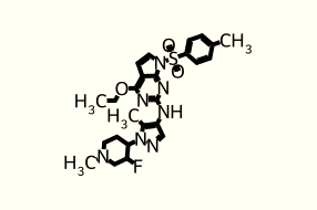 CCOc1nc(Nc2cnn(C3CCN(C)CC3F)c2C)nc2c1ccn2S(=O)(=O)c1ccc(C)cc1